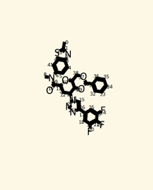 Cc1nc2ccc(N(C)C(=O)C3[CH]C(n4cc(-c5cc(F)c(F)c(F)c5)nn4)C4OC(c5ccccc5)OCC4O3)cc2s1